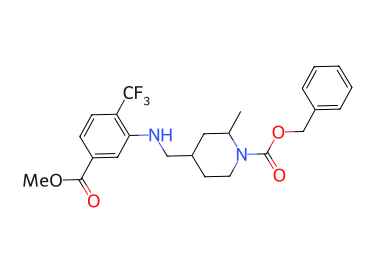 COC(=O)c1ccc(C(F)(F)F)c(NCC2CCN(C(=O)OCc3ccccc3)C(C)C2)c1